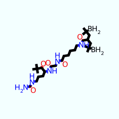 BC(C)(C)CC(CC(B)(C)C)C(=O)NCCCCCC(=O)NCC(=O)NC(CCCNC(N)=O)C(=O)C(C)(C)C